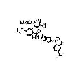 COc1cnc(Cl)cc1-c1cc(C)ncc1C(=O)Nc1nc2c(s1)CN(C(=O)c1ccc(C(F)F)cc1F)C2